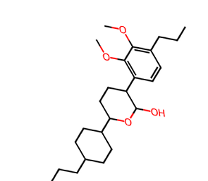 CCCc1ccc(C2CCC(C3CCC(CCC)CC3)OC2O)c(OC)c1OC